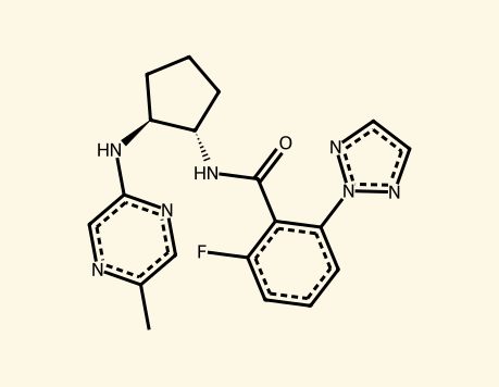 Cc1cnc(N[C@H]2CCC[C@@H]2NC(=O)c2c(F)cccc2-n2nccn2)cn1